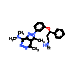 CCNCCC(Oc1cccc(-n2nc3c(N(C)C)nnc(C)c3c2C)c1)c1ccccc1